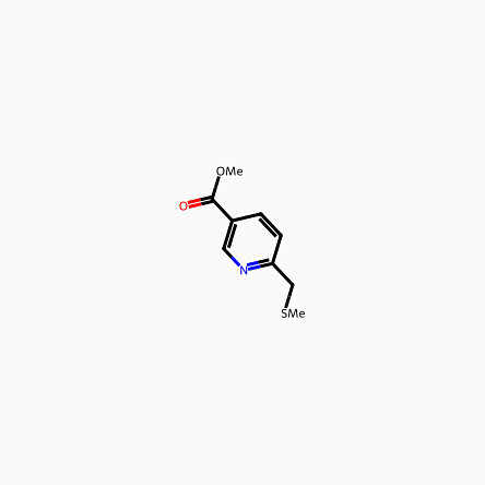 COC(=O)c1ccc(CSC)nc1